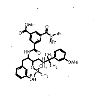 CCCN(CCC)C(=O)c1cc(C(=O)NC(Cc2cccc(O)c2)C(CNC(C)(C)c2cccc(OC)c2)O[Si](C)(C)C(C)(C)C)cc(C(=O)OC)c1